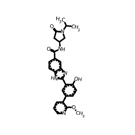 COc1ncccc1-c1ccc(O)c(-c2nc3cc(C(=O)NC4CC(=O)N(C(C)C)C4)ccc3[nH]2)c1